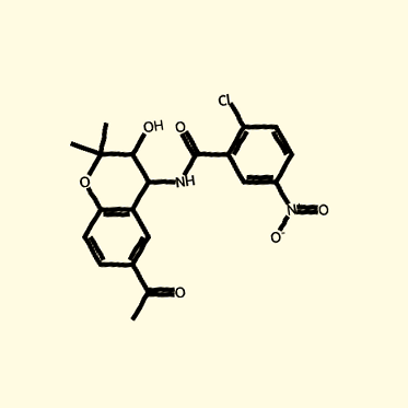 CC(=O)c1ccc2c(c1)C(NC(=O)c1cc([N+](=O)[O-])ccc1Cl)C(O)C(C)(C)O2